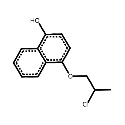 CC(Cl)COc1ccc(O)c2ccccc12